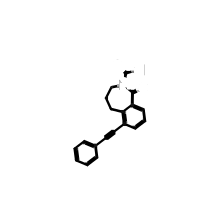 O=C(Cl)N1CCCc2c(C#Cc3ccccc3)cccc2C1=O